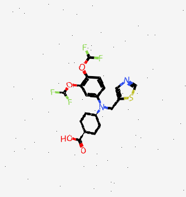 O=C(O)[C@H]1CC[C@@H](N(Cc2cncs2)c2ccc(OC(F)F)c(OC(F)F)c2)CC1